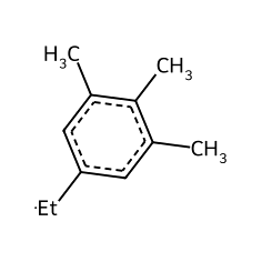 C[CH]c1cc(C)c(C)c(C)c1